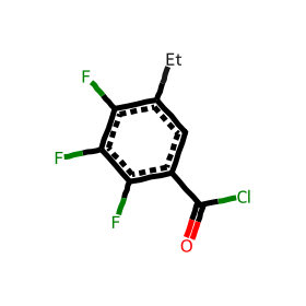 CCc1cc(C(=O)Cl)c(F)c(F)c1F